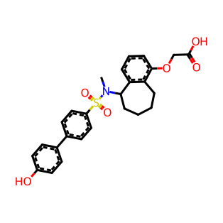 CN(C1CCCCc2c(OCC(=O)O)cccc21)S(=O)(=O)c1ccc(-c2ccc(O)cc2)cc1